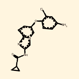 Nc1ccc(Oc2ccc3nc(NC(=O)C4CC4)cn3c2)c(Cl)c1